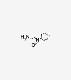 NCCN(C=O)c1cc[c]cc1